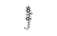 CCOCCOc1cccc(CNC(=O)c2ccc3ncsc3c2)c1F